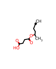 C#CCCC(C)OC(=O)CCC(=O)O